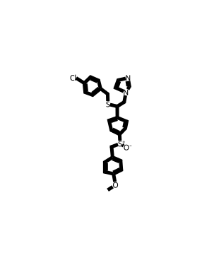 COc1ccc(C[S+]([O-])c2ccc(C(Cn3ccnc3)SCc3ccc(Cl)cc3)cc2)cc1